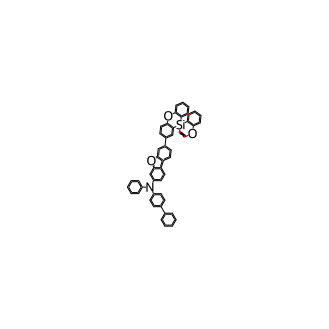 c1ccc(-c2ccc(N(c3ccccc3)c3ccc4c(c3)oc3cc(-c5ccc6c(c5)[Si]5(c7ccccc7Oc7ccccc75)c5ccccc5O6)ccc34)cc2)cc1